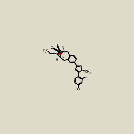 Cn1nc(-c2ccc3c(c2)C[C@H]2CC[C@@H](C3)[C@]23CN(CC(F)(F)F)S(=O)(=O)N3)cc1-c1ccc(Cl)cc1Cl